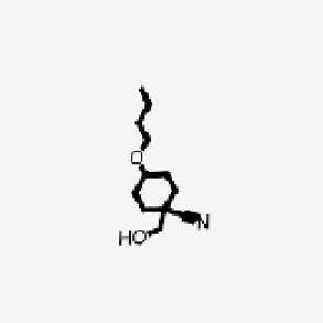 CCCCOC1CCC(C#N)(CO)CC1